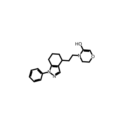 OC1=COCCN1CCC1CCCc2c1cnn2-c1ccccc1